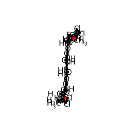 Cc1cc(S(=O)(=O)NCCOCCOCCNC(=O)NCCCCNC(=O)NCCOCCOCCNS(=O)(=O)c2cc(C)c(O[C@H]3c4cc(Cl)cc(Cl)c4C[C@@H]3N(C)C)c(F)c2)cc(F)c1O[C@H]1c2cc(Cl)cc(Cl)c2C[C@@H]1N(C)C